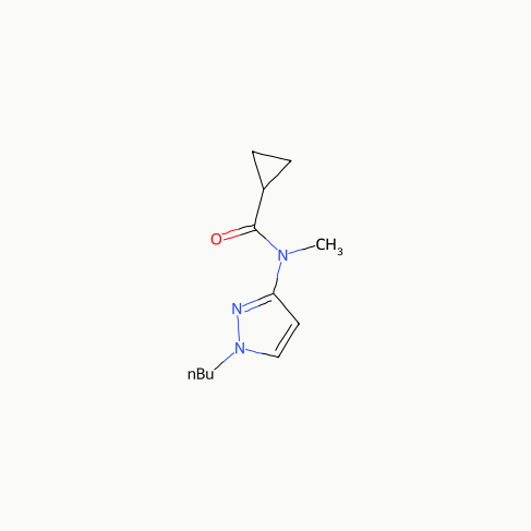 CCCCn1ccc(N(C)C(=O)C2CC2)n1